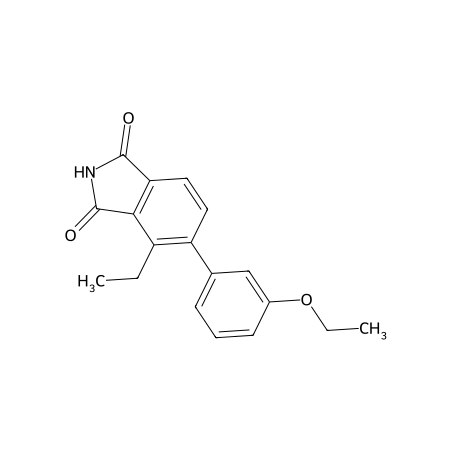 CCOc1cccc(-c2ccc3c(c2CC)C(=O)NC3=O)c1